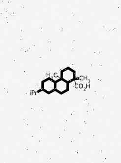 CC(C)C1CCC2C(CCC3[C@]2(C)CCC[C@]3(C)C(=O)O)C1